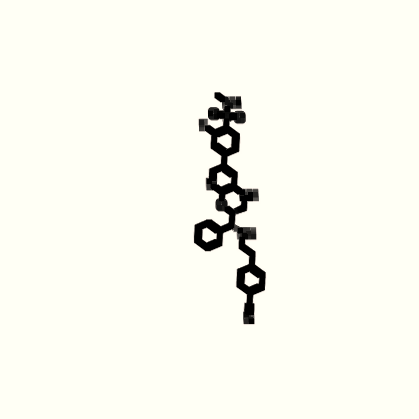 CNS(=O)(=O)c1ccc(-c2cnc3c(c2)NC[C@@H]([C@H](NCCc2ccc(C#N)cc2)c2ccccc2)O3)cc1F